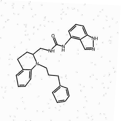 O=C(NCC1CCc2ccccc2N1CCCc1ccccc1)Nc1cccc2[nH]ncc12